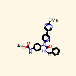 COc1ncc(-c2ccc(N(C(=O)N[C@@H](C)c3ccccc3)[C@H]3CC[C@H](NC(=O)OC(C)(C)C)CC3)nc2)cn1